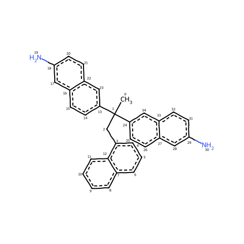 CC(Cc1cccc2ccccc12)(c1ccc2cc(N)ccc2c1)c1ccc2cc(N)ccc2c1